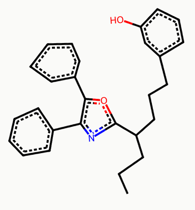 CCCC(CCCc1cccc(O)c1)c1nc(-c2ccccc2)c(-c2ccccc2)o1